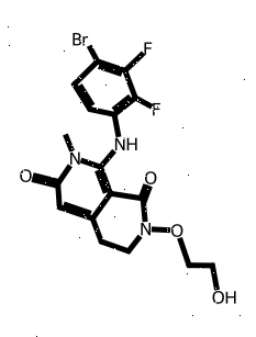 Cn1c(Nc2ccc(Br)c(F)c2F)c2c(cc1=O)CCN(OCCO)C2=O